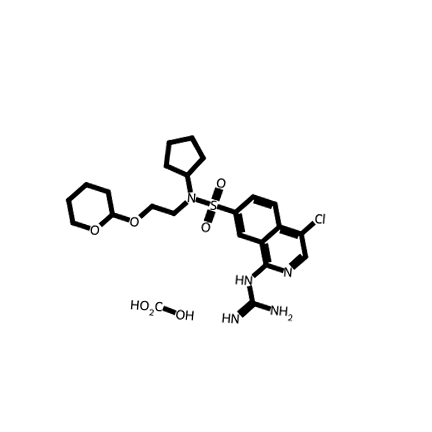 N=C(N)Nc1ncc(Cl)c2ccc(S(=O)(=O)N(CCOC3CCCCO3)C3CCCC3)cc12.O=C(O)O